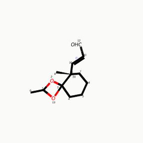 CC1OC2(CCCC[C@@]2(C)/C=C/C=O)O1